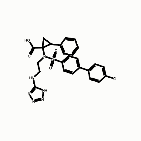 O=C(O)C1(N(CCNc2nnn[nH]2)S(=O)(=O)c2ccc(-c3ccc(Cl)cc3)cc2)CC1c1ccccc1